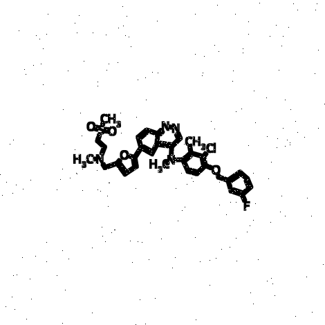 Cc1c(N(C)c2cnnc3ccc(-c4ccc(CN(C)CCS(C)(=O)=O)o4)cc23)ccc(OCc2cccc(F)c2)c1Cl